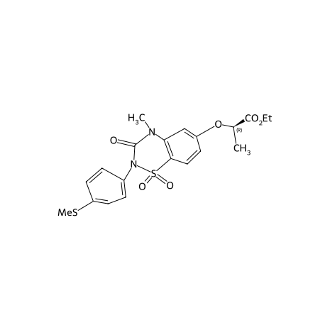 CCOC(=O)[C@@H](C)Oc1ccc2c(c1)N(C)C(=O)N(c1ccc(SC)cc1)S2(=O)=O